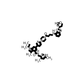 CC[C@H](C)n1cc(C)c2c(C(=O)NCC3=C(C)C=C(C)NO3)cc(-c3ccc(N4CCN(C(=O)CCCNc5cccc6c5ON(C5CCONO5)O6)CC4)nc3)cc21